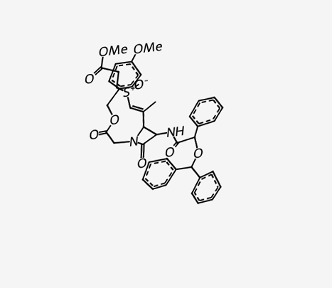 COC(=O)CC[S+]([O-])C=C(C)C1C(NC(=O)C(OC(c2ccccc2)c2ccccc2)c2ccccc2)C(=O)N1CC(=O)OCc1ccc(OC)cc1